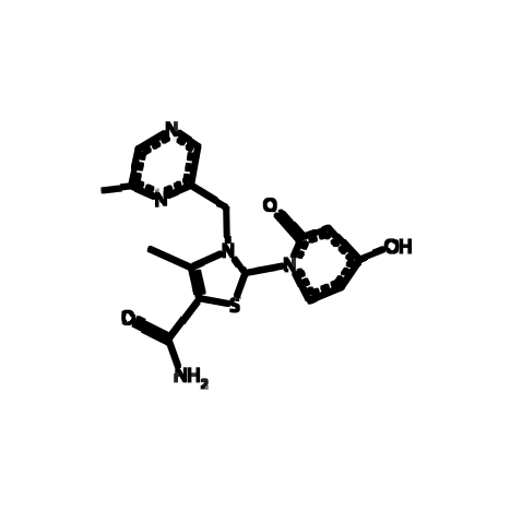 CC1=C(C(N)=O)SC(n2ccc(O)cc2=O)N1Cc1cncc(C)n1